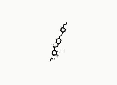 CCCc1ccc(CCC2CCC(CC(=O)c3ccc(OCC)c(F)c3O)CC2)cc1